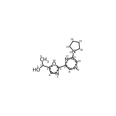 CC(O)c1cnc(-c2cncc(N3CCCC3)n2)o1